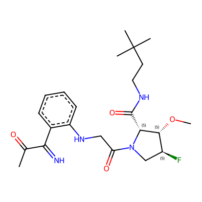 CO[C@H]1[C@@H](C(=O)NCCC(C)(C)C)N(C(=O)CNc2ccccc2C(=N)C(C)=O)C[C@@H]1F